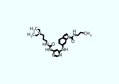 CCCNC(=O)n1ccc2ccc(Nc3cc(NC(=O)NCCCN(CC)CC)ncn3)cc21